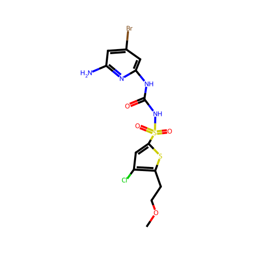 COCCc1sc(S(=O)(=O)NC(=O)Nc2cc(Br)cc(N)n2)cc1Cl